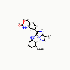 COc1cccc(Nc2c(-c3ccc4c(c3)NC(=O)OC4)[nH]c3c(C#N)cnn23)c1